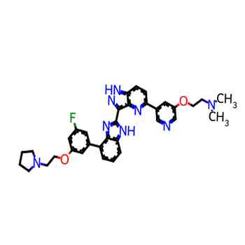 CN(C)CCOc1cncc(-c2ccc3[nH]nc(-c4nc5c(-c6cc(F)cc(OCCN7CCCC7)c6)cccc5[nH]4)c3n2)c1